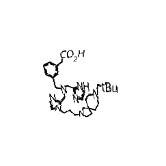 CC(C)(C)CN1CCC2(CC1)CCN(CCCn1ccnc1CN(Cc1cccc(CC(=O)O)c1)Cc1ncc[nH]1)C2